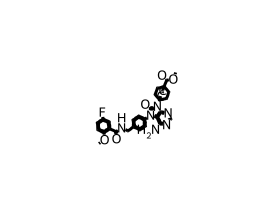 COC(=O)C12CCC(n3c(=O)n(-c4ccc(CNC(=O)c5cc(F)ccc5OC)cc4)c4c(N)ncnc43)(CC1)CC2